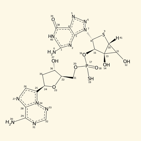 Nc1nc2c(nnn2[C@@H]2S[C@@H]3C(O)[C@]3(O)[C@H]2OP(=O)(S)OC[C@H]2O[C@@H](c3cnc4c(N)ncnn34)C[C@@H]2O)c(=O)[nH]1